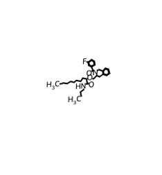 CCCCCCCCCC(OCC1Cc2ccccc2CN1C(=O)c1cccc(F)c1)C(=O)NCCCC